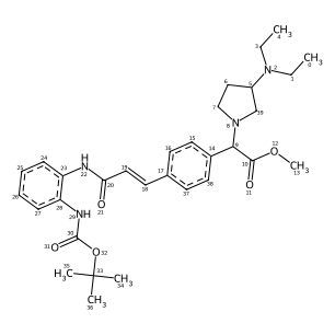 CCN(CC)C1CCN(C(C(=O)OC)c2ccc(/C=C/C(=O)Nc3ccccc3NC(=O)OC(C)(C)C)cc2)C1